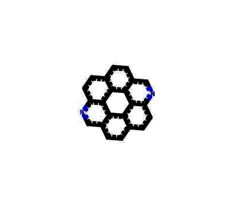 c1cc2cnc3ccc4ccc5cnc6ccc1c1c2c3c4c5c61